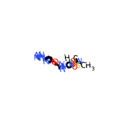 Cc1nc(C)c(S(=O)(=O)N2CCC(n3ncc(COc4ccc(-n5cnnn5)nc4)n3)CC2)s1